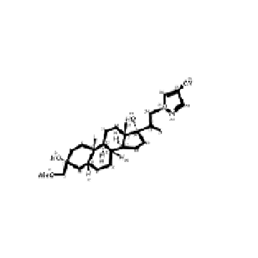 COC[C@@]1(O)CC[C@@]2(C)[C@H](CC[C@@H]3[C@@H]2CC[C@@]2(C)[C@H]3CC[C@]2(O)C(C)Cn2cc(C#N)cn2)C1